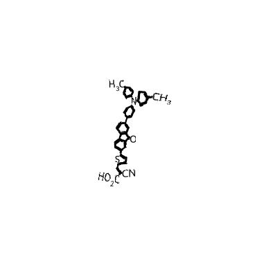 Cc1ccc(N(c2ccc(C)cc2)c2ccc(-c3ccc4c(c3)C(=O)c3cc(-c5ccc(/C=C(\C#N)C(=O)O)s5)ccc3-4)cc2)cc1